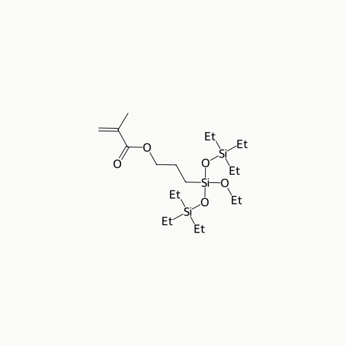 C=C(C)C(=O)OCCC[Si](OCC)(O[Si](CC)(CC)CC)O[Si](CC)(CC)CC